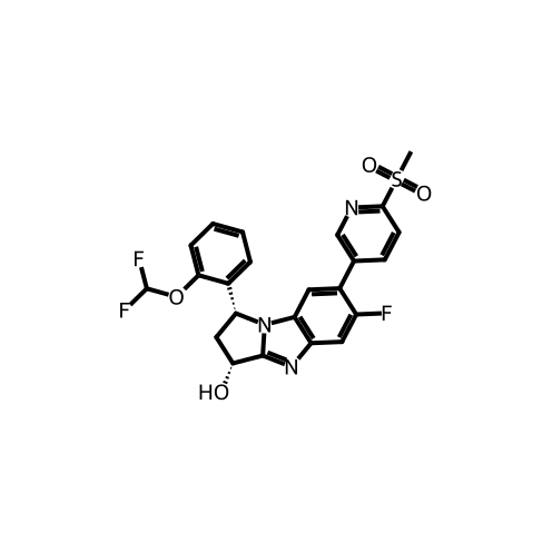 CS(=O)(=O)c1ccc(-c2cc3c(cc2F)nc2n3[C@@H](c3ccccc3OC(F)F)C[C@H]2O)cn1